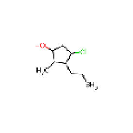 BCCC1C(Cl)CC(O)C1C